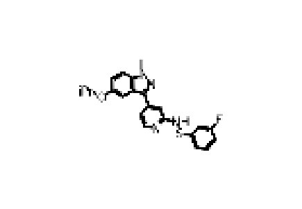 CC(C)Oc1ccc2[nH]nc(-c3ccnc(NSc4cccc(F)c4)c3)c2c1